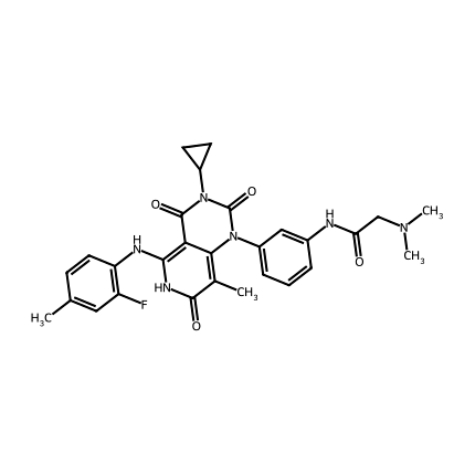 Cc1ccc(Nc2[nH]c(=O)c(C)c3c2c(=O)n(C2CC2)c(=O)n3-c2cccc(NC(=O)CN(C)C)c2)c(F)c1